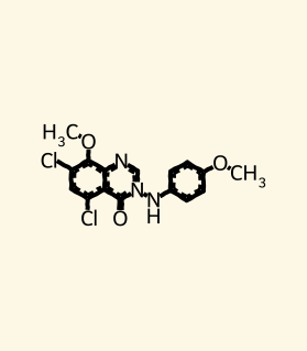 COc1ccc(Nn2cnc3c(OC)c(Cl)cc(Cl)c3c2=O)cc1